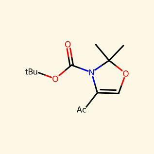 CC(=O)C1=COC(C)(C)N1C(=O)OC(C)(C)C